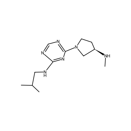 CN[C@@H]1CCN(c2ncnc(NCC(C)C)n2)C1